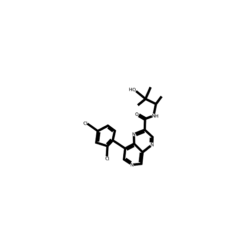 CC(NC(=O)c1cnc2cncc(-c3ccc(Cl)cc3Cl)c2n1)C(C)(C)O